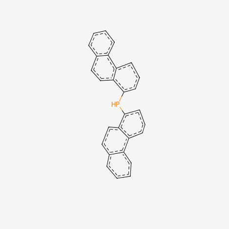 c1ccc2c(c1)ccc1c(Pc3cccc4c3ccc3ccccc34)cccc12